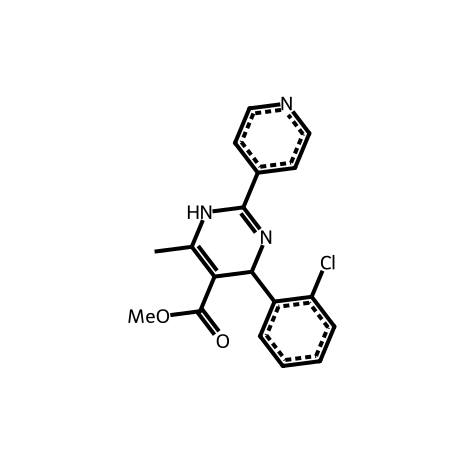 COC(=O)C1=C(C)NC(c2ccncc2)=NC1c1ccccc1Cl